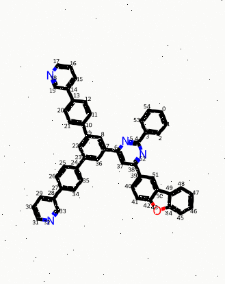 c1ccc(-c2nc(-c3cc(-c4ccc(-c5cccnc5)cc4)cc(-c4ccc(-c5cccnc5)cc4)c3)cc(-c3ccc4oc5ccccc5c4c3)n2)cc1